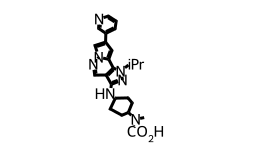 CC(C)n1nc(NC2CCC(N(C)C(=O)O)CC2)c2cnn3cc(-c4cccnc4)cc3c21